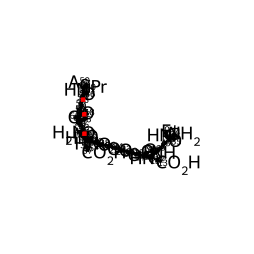 CCN[C@@H](CCCCNC(=O)[C@H](CCC(=O)O)NC(=O)CCOCCOCCOCCOCCNC(=O)[C@H](CCC(=O)O)NC(=O)[C@@H](N)CSC1CC(=O)N(CCCCCC(=O)N[C@H](C(C)=O)C(C)C)C1=O)C(N)=O